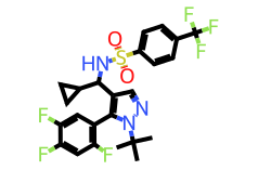 CC(C)(C)n1ncc(C(NS(=O)(=O)c2ccc(C(F)(F)F)cc2)C2CC2)c1-c1cc(F)c(F)cc1F